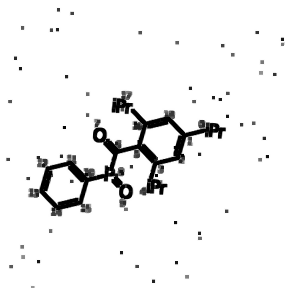 CC(C)c1cc(C(C)C)c(C(=O)[P](=O)c2ccccc2)c(C(C)C)c1